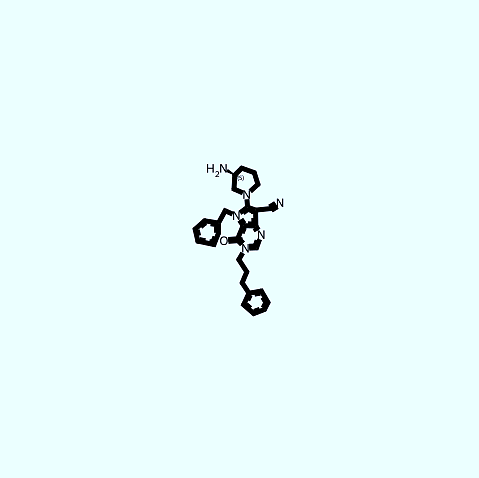 N#Cc1c(N2CCC[C@H](N)C2)n(Cc2ccccc2)c2c(=O)n(CCCc3ccccc3)cnc12